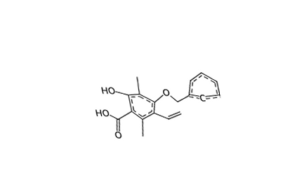 C=Cc1c(C)c(C(=O)O)c(O)c(C)c1OCc1ccccc1